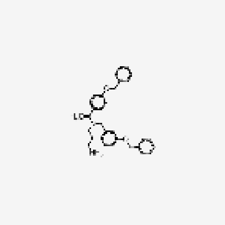 C=C(c1ccc(OCc2ccccc2)cc1)N(CCCN)Cc1cccc(OCc2ccccc2)c1